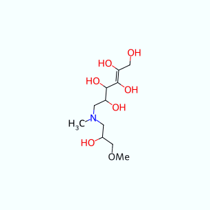 COCC(O)CN(C)CC(O)C(O)/C(O)=C(\O)CO